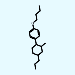 CCCCOc1ccc(C2CCC(CCC)CC2C)cc1